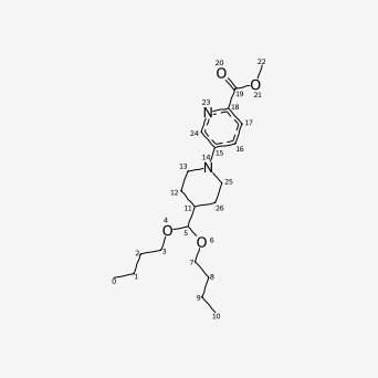 CCCCOC(OCCCC)C1CCN(c2ccc(C(=O)OC)nc2)CC1